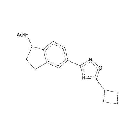 CC(=O)NC1CCc2cc(-c3noc(C4CCC4)n3)ccc21